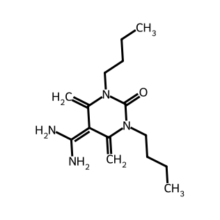 C=C1C(=C(N)N)C(=C)N(CCCC)C(=O)N1CCCC